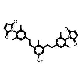 Cc1cc(CCc2cc(O)cc(CCc3cc(C)c(N4C(=O)C=CC4=O)c(C)c3)c2C)cc(C)c1N1C(=O)C=CC1=O